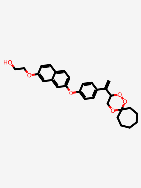 C=C(c1ccc(Oc2ccc3ccc(OCCO)cc3c2)cc1)C1COC2(CCCCCC2)OO1